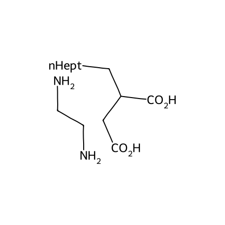 CCCCCCCCC(CC(=O)O)C(=O)O.NCCN